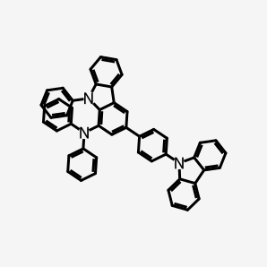 c1ccc(N(c2ccccc2)c2cc(-c3ccc(-n4c5ccccc5c5ccccc54)cc3)cc3c4ccccc4n(-c4ccccc4)c23)cc1